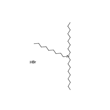 Br.CCCCCCCCCN(CCCCCCCCC)CCCCCCCCC